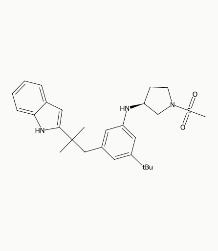 CC(C)(C)c1cc(CC(C)(C)c2cc3ccccc3[nH]2)cc(N[C@H]2CCN(S(C)(=O)=O)C2)c1